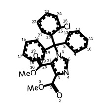 COC(=O)c1ncn(C(c2ccccc2)(c2ccccc2)c2ccccc2Cl)c1C(=O)OC